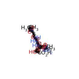 CC(C)[C@@H](C(N)=O)N(C)C(=O)OCc1ccc(O[C@H]2C[C@@H](O)C[C@@H](C(=O)O)O2)c(NC(=O)CCNC(=O)CNC(=O)CCCCCN2C(=O)CC(C)(C)C2=O)c1